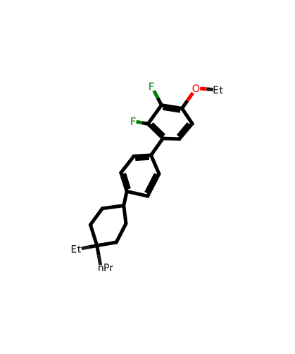 CCCC1(CC)CCC(c2ccc(-c3ccc(OCC)c(F)c3F)cc2)CC1